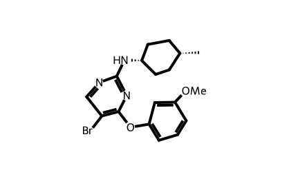 COc1cccc(Oc2nc(N[C@H]3CC[C@@H](C)CC3)ncc2Br)c1